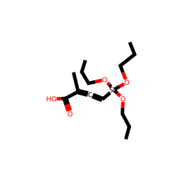 CCCO[Si](C=C=C(C)C(=O)O)(OCCC)OCCC